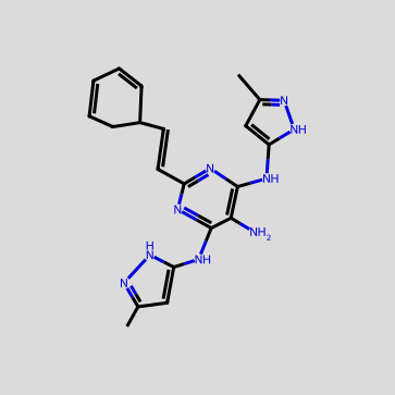 Cc1cc(Nc2nc(/C=C/C3C=CC=CC3)nc(Nc3cc(C)n[nH]3)c2N)[nH]n1